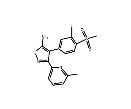 Cc1cccc(-c2noc(C(F)(F)F)c2-c2ccc(S(C)(=O)=O)c(F)c2)n1